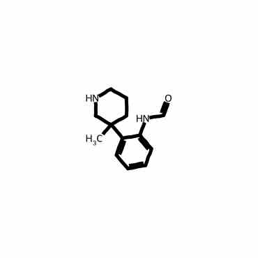 CC1(c2ccccc2NC=O)CCCNC1